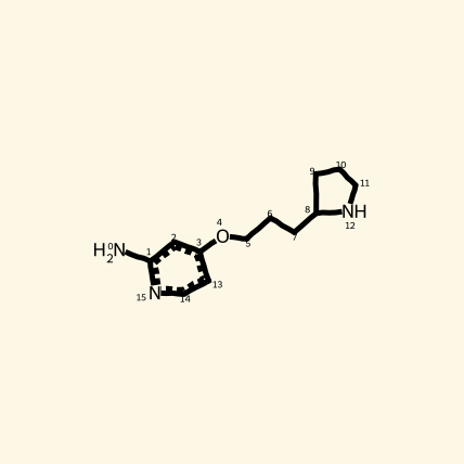 Nc1cc(OCCCC2CCCN2)ccn1